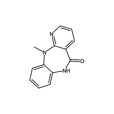 CN1c2ccccc2NC(=O)c2cccnc21